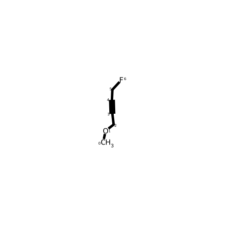 COCC#CCF